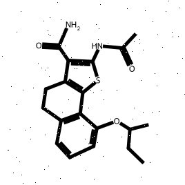 CCC(C)Oc1cccc2c1-c1sc(NC(C)=O)c(C(N)=O)c1CC2